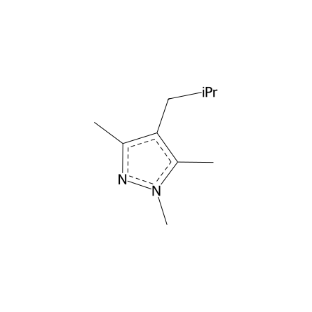 Cc1nn(C)c(C)c1CC(C)C